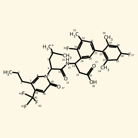 CCCc1cn(C(CC(C)C)C(=O)NC(CC(=O)O)c2cc(C3=C(C)CC(F)C=C3C)cc(C)c2F)c(=O)cc1C(F)(F)F